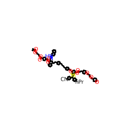 [C-]#[N+]c1ccc(/C(=C2\Sc3c(OCc4ccc(CCCCc5ccc(CCc6cc(/C=N/Nc7ccc8ccccc8c7)c(OC(=O)C7CCC(C(=O)OCCCCOC(=O)C(=C)C)CC7)c7ccccc67)cc5)cc4)ccc(OC(=O)CCc4ccc(OCCCOCC5CCC6OC6C5)cc4)c3S2)c2ccc(CCC)cc2)cc1